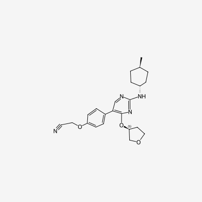 C[C@H]1CC[C@H](Nc2ncc(-c3ccc(OCC#N)cc3)c(O[C@H]3CCOC3)n2)CC1